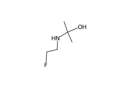 CC(C)(O)NCCF